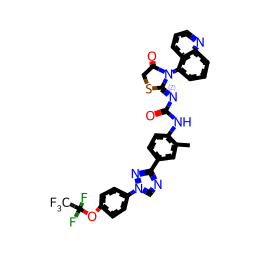 Cc1cc(-c2ncn(-c3ccc(OC(F)(F)C(F)(F)F)cc3)n2)ccc1NC(=O)/N=C1\SCC(=O)N1c1cccc2ncccc12